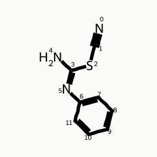 N#CSC(N)=Nc1ccccc1